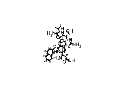 CC(C)[C@H](NC(=O)[C@H](CO)NC(=O)[C@H](CC(N)=O)NC(=O)[C@H](Cc1ccc2ccccc2c1)NC(=O)[C@@H](N)CC(=O)O)C(N)=O